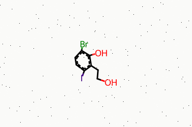 OCCc1c(I)ccc(Br)c1O